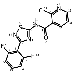 O=C(Nc1nc(-c2c(F)cccc2F)ns1)c1cccnc1Cl